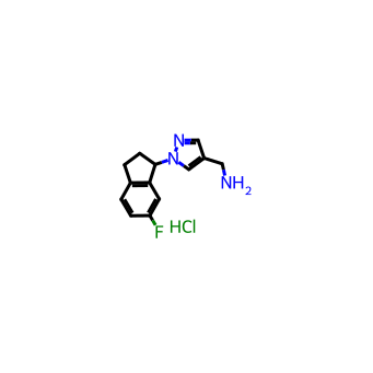 Cl.NCc1cnn(C2CCc3ccc(F)cc32)c1